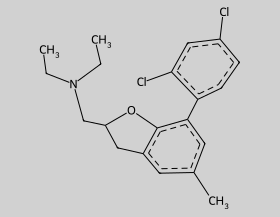 CCN(CC)CC1Cc2cc(C)cc(-c3ccc(Cl)cc3Cl)c2O1